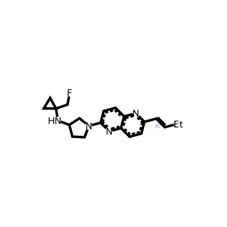 CC/C=C/c1ccc2nc(N3CCC(NC4(CF)CC4)C3)ccc2n1